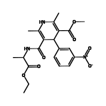 CCOC(=O)C(C)NC(=O)C1=C(C)NC(C)=C(C(=O)OC)C1c1cccc([N+](=O)[O-])c1